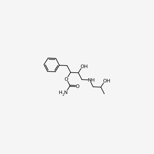 CC(O)CNCC(O)C(Cc1ccccc1)OC(N)=O